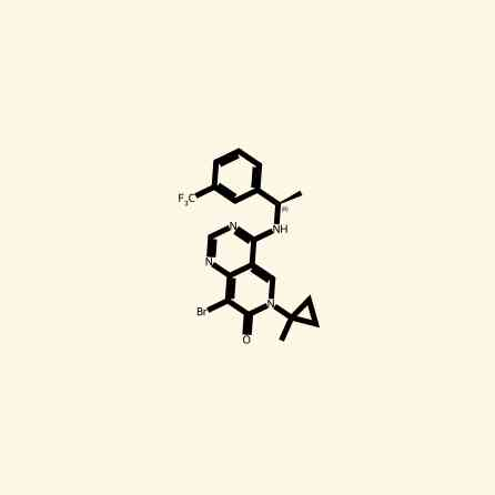 C[C@@H](Nc1ncnc2c(Br)c(=O)n(C3(C)CC3)cc12)c1cccc(C(F)(F)F)c1